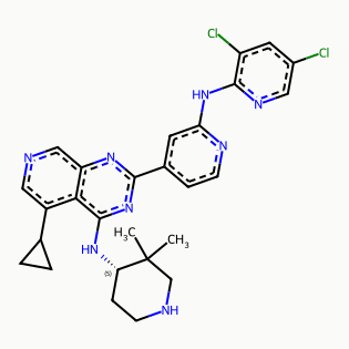 CC1(C)CNCC[C@@H]1Nc1nc(-c2ccnc(Nc3ncc(Cl)cc3Cl)c2)nc2cncc(C3CC3)c12